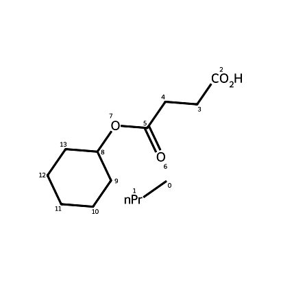 CCCC.O=C(O)CCC(=O)OC1CCCCC1